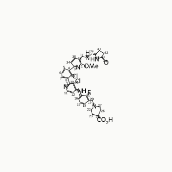 COc1nc(-c2cccc(-c3nccc(Nc4cccc(CN5CCC(C(=O)O)CC5)c4F)c3Cl)c2Cl)ccc1CNC[C@@H]1CCC(=O)N1